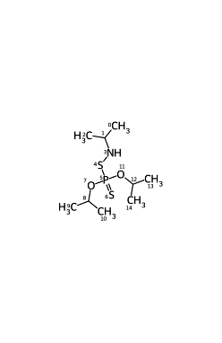 CC(C)NSP(=S)(OC(C)C)OC(C)C